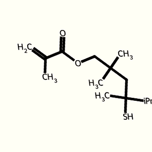 C=C(C)C(=O)OCC(C)(C)CC(C)(S)C(C)C